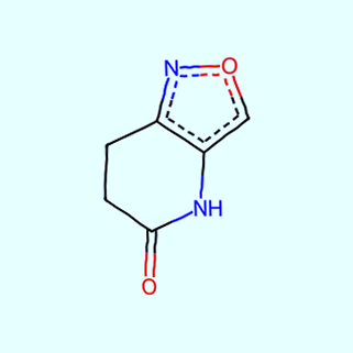 O=C1CCc2nocc2N1